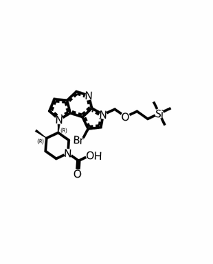 C[C@@H]1CCN(C(=O)O)C[C@@H]1n1ccc2cnc3c(c(Br)cn3COCC[Si](C)(C)C)c21